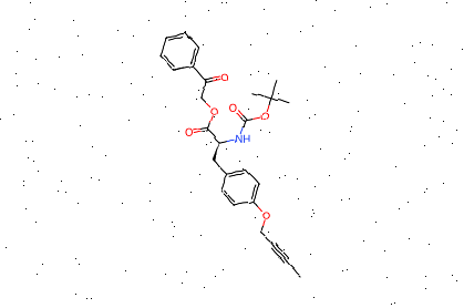 CC#CCOc1ccc(C[C@H](NC(=O)OC(C)(C)C)C(=O)OCC(=O)c2ccccc2)cc1